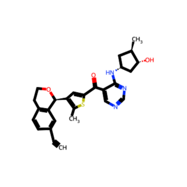 C#Cc1ccc2c(c1)[C@H](c1cc(C(=O)c3cncnc3N[C@@H]3C[C@@H](C)[C@H](O)C3)sc1C)OCC2